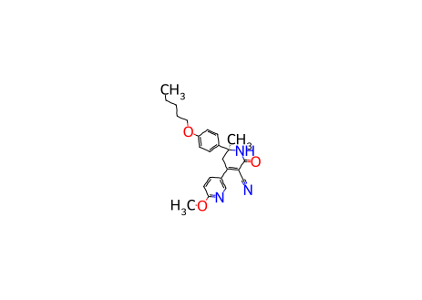 CCCCCOc1ccc([C@]2(C)CC(c3ccc(OC)nc3)=C(C#N)C(=O)N2)cc1